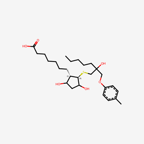 CCCCCC(O)(COc1ccc(C)cc1)CS[C@H]1C(O)CC(O)[C@@H]1CCCCCCC(=O)O